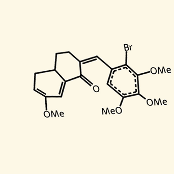 COC1=CCC2CCC(=Cc3cc(OC)c(OC)c(OC)c3Br)C(=O)C2=C1